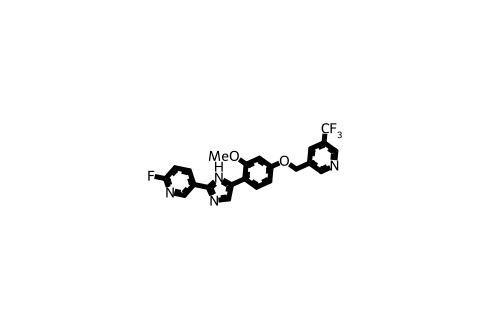 COc1cc(OCc2cncc(C(F)(F)F)c2)ccc1-c1cnc(-c2ccc(F)nc2)[nH]1